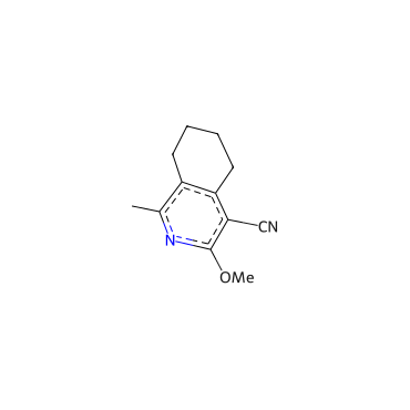 COc1nc(C)c2c(c1C#N)CCCC2